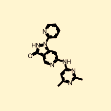 Cc1cc(Nc2cc3c(cn2)c(=O)[nH]n3-c2ccccn2)nc(C)n1